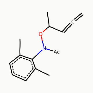 C=C=CC(C)ON(C(C)=O)c1c(C)cccc1C